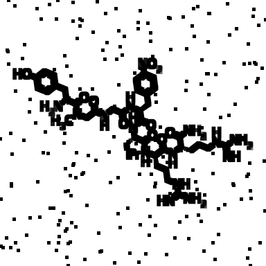 CC(C)C[C@H](NC(=O)[C@H](Cc1ccc([N+](=O)[O-])cc1)NC(=O)CNC(=O)CN(C)C(=O)[C@@H](N)Cc1ccc(O)cc1)C(=O)N[C@H](CCCNC(=N)N)C(=O)N[C@@H](CCCNC(=N)N)C(N)=O